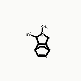 CC(C)C1C2C3C=CC(CC3)C2CN1C